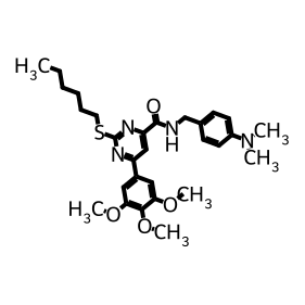 CCCCCCSc1nc(C(=O)NCc2ccc(N(C)C)cc2)cc(-c2cc(OC)c(OC)c(OC)c2)n1